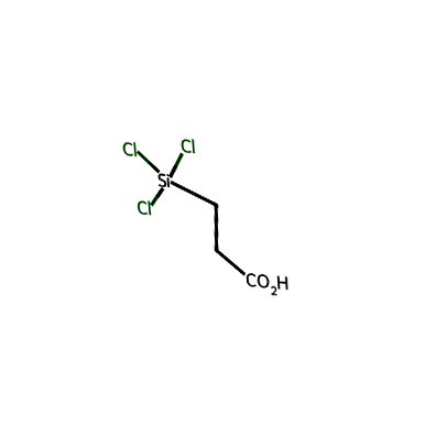 O=C(O)CC[Si](Cl)(Cl)Cl